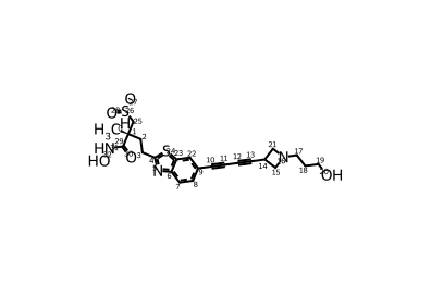 C[C@](CCc1nc2ccc(C#CC#CC3CN(CCCO)C3)cc2s1)(C[SH](=O)=O)C(=O)NO